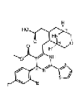 COC(=O)C1=C(CC2C(CC(=O)O)C[C@H]3COC[C@@H]2N3)NC(c2nccs2)=N[C@H]1c1ccc(F)cc1Br